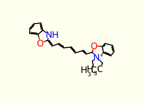 CC[N+]1(CC)c2ccccc2OC1C=CC=CC=CC=C1Nc2ccccc2O1